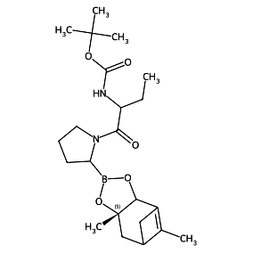 CCC(NC(=O)OC(C)(C)C)C(=O)N1CCCC1B1OC2C3=C(C)C(C3)C[C@]2(C)O1